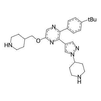 CC(C)(C)c1ccc(-c2ncc(OCC3CCNCC3)nc2-c2cnn(C3CCNCC3)c2)cc1